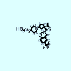 CC(C)[C@]1(C(=O)N2COc3ccc(C(F)(F)F)cc3C2)CCC(N2CCC(SOOO)CC2)C1